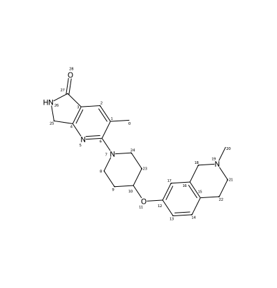 Cc1cc2c(nc1N1CCC(Oc3ccc4c(c3)CN(C)CC4)CC1)CNC2=O